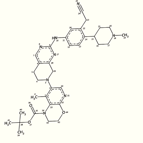 Cc1c(N2CCc3cnc(Nc4ccc(C5CCN(C)CC5)c(CC#N)c4)nc3C2)cnc2c1N(C(=O)OC(C)(C)C)CCO2